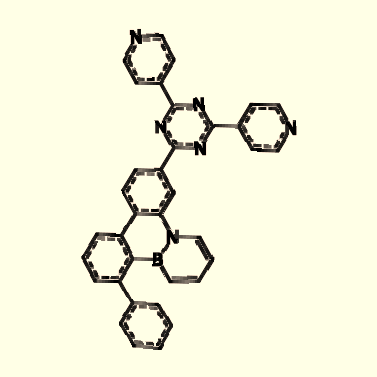 C1=CB2c3c(-c4ccccc4)cccc3-c3ccc(-c4nc(-c5ccncc5)nc(-c5ccncc5)n4)cc3N2C=C1